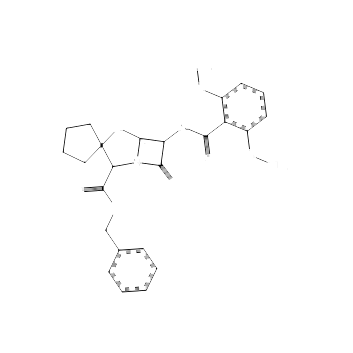 COc1cccc(OC)c1C(=O)NC1C(=O)N2C(C(=O)OCc3ccccc3)C3(CCCC3)S[C@@H]12